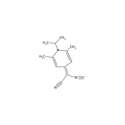 [C-]#[N+]C(C#N)=C1C=C(C)N(C(C)C)C(C)=C1